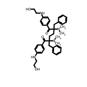 CN(C)C(CCC(Cc1ccccc1)(C(=O)c1ccc(NCCO)cc1)N(C)C)(Cc1ccccc1)C(=O)c1ccc(NCCO)cc1